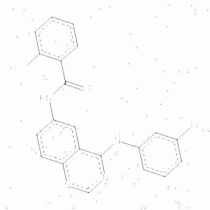 Cc1ccccc1C(=O)Nc1ccc2ncnc(Nc3cccc(Br)c3)c2c1